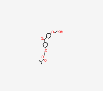 C=C(C)C(=O)OCCOc1ccc(C(=O)c2ccc(OCCO)cc2)cc1